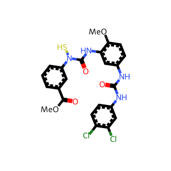 COC(=O)c1cccc(N(S)C(=O)Nc2cc(NC(=O)Nc3ccc(Cl)c(Cl)c3)ccc2OC)c1